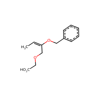 CC=C(COCC(=O)O)OCc1ccccc1